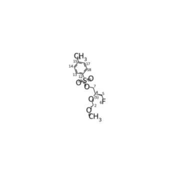 COCO[C@H](CF)COS(=O)(=O)c1ccc(C)cc1